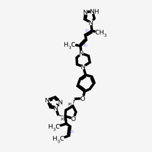 C/C=C\C(C)[C@@]1(Cn2cncn2)C[C@H](COC2=CC=C(N3CCN(/C(C)=C/C=C(\C)N4C=NNC4)CC3)C=CC2)CO1